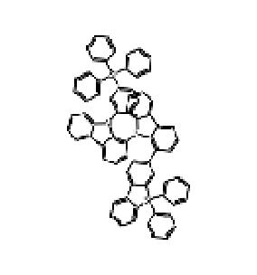 c1ccc([Si](c2ccccc2)(c2ccccc2)c2cccc(-n3c4ccccc4c4cccc(-n5c6ccccc6c6cccc(-c7ccc8c(c7)[Si](c7ccccc7)(c7ccccc7)c7ccccc7-8)c65)c43)c2)cc1